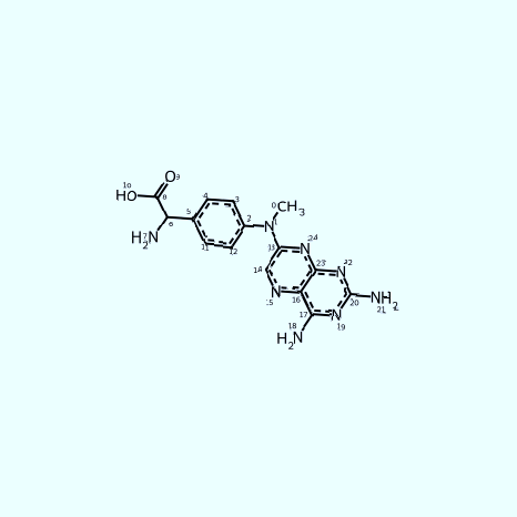 CN(c1ccc(C(N)C(=O)O)cc1)c1cnc2c(N)nc(N)nc2n1